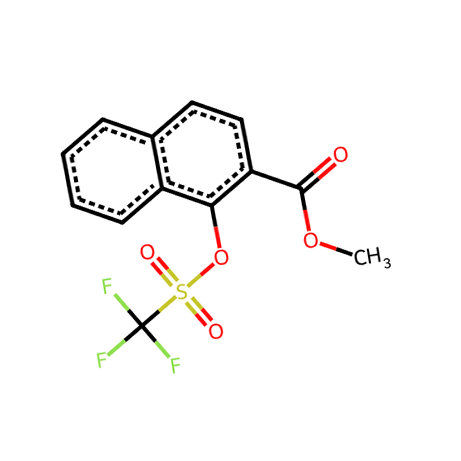 COC(=O)c1ccc2ccccc2c1OS(=O)(=O)C(F)(F)F